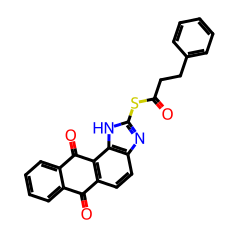 O=C(CCc1ccccc1)Sc1nc2ccc3c(c2[nH]1)C(=O)c1ccccc1C3=O